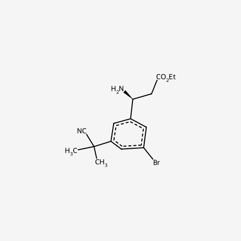 CCOC(=O)C[C@H](N)c1cc(Br)cc(C(C)(C)C#N)c1